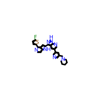 Fc1ccc(-c2nccc3[nH]c(-c4n[nH]c5ncc(-c6cncc(CN7CCCCC7)c6)cc45)cc23)s1